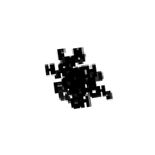 C#Cc1c(F)ccc2cc(O)cc(N3Cc4nc(OC[C@]5(C)C[C@@H](F)CN5Cc5cccnc5)nc(N(C)C[C@@H]5CCCN5C(=O)C=C)c4OC3=O)c12